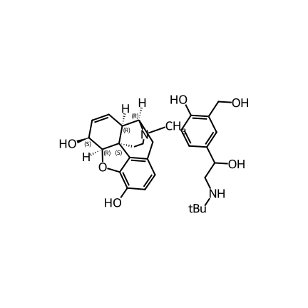 CC(C)(C)NCC(O)c1ccc(O)c(CO)c1.CN1CC[C@]23c4c5ccc(O)c4O[C@H]2[C@@H](O)C=C[C@H]3[C@H]1C5